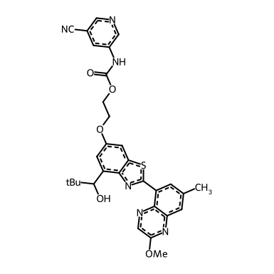 COc1cnc2c(-c3nc4c(C(O)C(C)(C)C)cc(OCCOC(=O)Nc5cncc(C#N)c5)cc4s3)cc(C)cc2n1